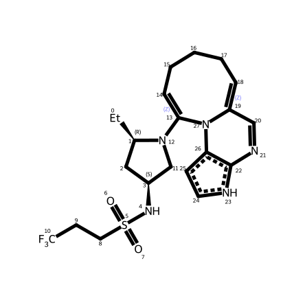 CC[C@@H]1C[C@H](NS(=O)(=O)CCC(F)(F)F)CN1/C1=C/CCC/C=C2/C=Nc3[nH]ccc3N21